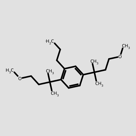 [CH2]CCc1cc(C(C)(C)CCOC)ccc1C(C)(C)CCOC